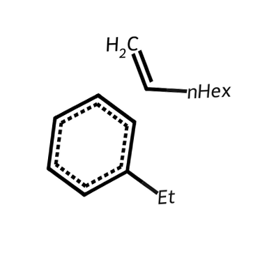 C=CCCCCCC.CCc1ccccc1